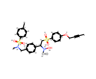 CC#CCOc1ccc(S(=O)(=O)CC(c2ccc(CN(C)S(=O)(=O)c3ccc(C)cc3)cc2)N(O)C=O)cc1